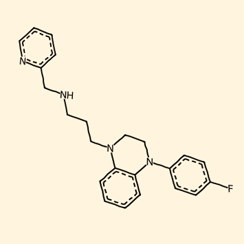 Fc1ccc(N2CCN(CCCNCc3ccccn3)c3ccccc32)cc1